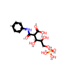 O=C(O)C(C(=O)Nc1ccccc1)C(O)C(O)COP(=O)(O)O